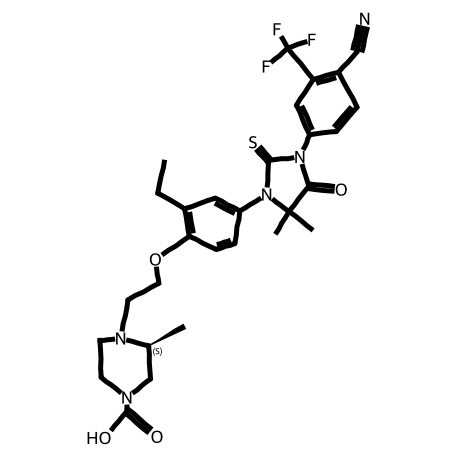 CCc1cc(N2C(=S)N(c3ccc(C#N)c(C(F)(F)F)c3)C(=O)C2(C)C)ccc1OCCN1CCN(C(=O)O)C[C@@H]1C